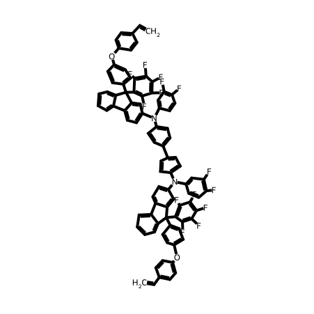 C=Cc1ccc(Oc2ccc(C3(c4c(F)c(F)c(F)c(F)c4F)c4ccccc4-c4ccc(N(c5ccc(-c6ccc(N(c7ccc(F)c(F)c7)c7ccc8c(c7)C(c7ccc(Oc9ccc(C=C)cc9)cc7)(c7c(F)c(F)c(F)c(F)c7F)c7ccccc7-8)cc6)cc5)c5ccc(F)c(F)c5)cc43)cc2)cc1